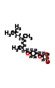 CC(C)CCCC(C)CCCC(C)CCOc1ccc(COC([C]=O)C[C]=O)cc1